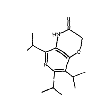 C=C1COc2c(c(C(C)C)nc(C(C)C)c2C(C)C)N1